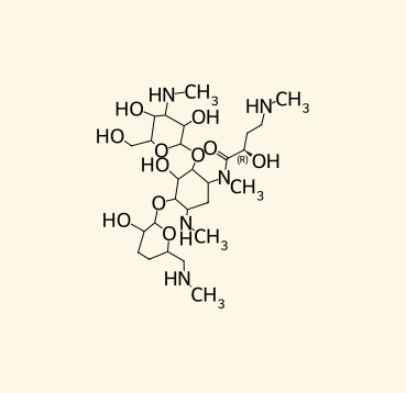 CNCC[C@@H](O)C(=O)N(C)C1CC(NC)C(OC2OC(CNC)CCC2O)C(O)C1OC1OC(CO)C(O)C(NC)C1O